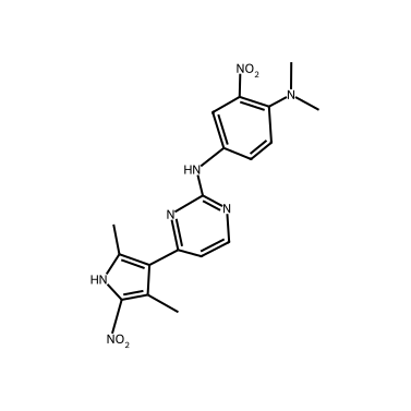 Cc1[nH]c([N+](=O)[O-])c(C)c1-c1ccnc(Nc2ccc(N(C)C)c([N+](=O)[O-])c2)n1